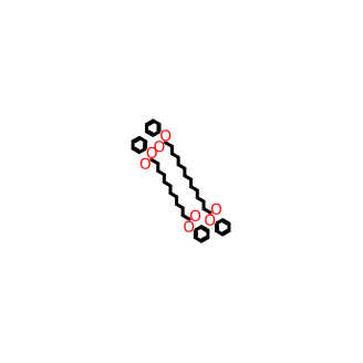 O=C(CCCCCCCCCCC(=O)Oc1ccccc1)Oc1ccccc1.O=C(CCCCCCCCCCCCC(=O)Oc1ccccc1)Oc1ccccc1